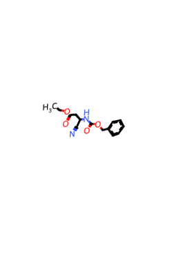 CCOC(=O)CC(C#N)NC(=O)OCc1ccccc1